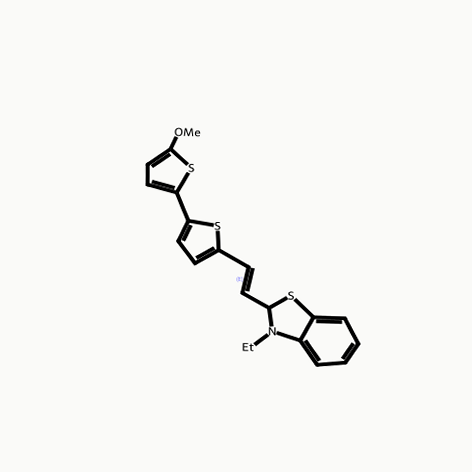 CCN1c2ccccc2SC1/C=C/c1ccc(-c2ccc(OC)s2)s1